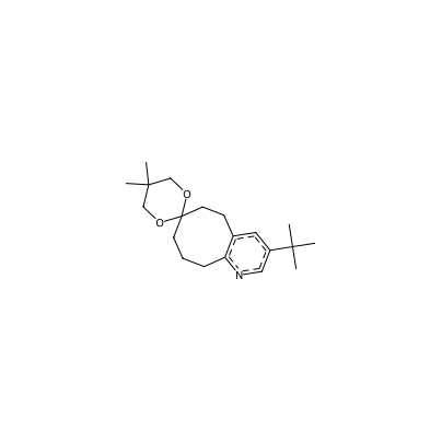 CC1(C)COC2(CCCc3ncc(C(C)(C)C)cc3CC2)OC1